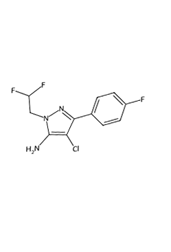 Nc1c(Cl)c(-c2ccc(F)cc2)nn1CC(F)F